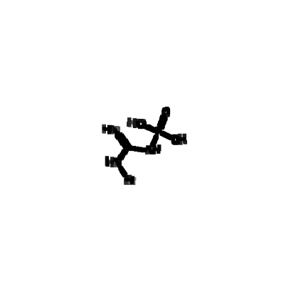 CCNC(=N)NP(=O)(O)O